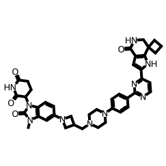 Cn1c(=O)n(C2CCC(=O)NC2=O)c2ccc(N3CC(CN4CCN(c5ccc(-c6nccc(-c7cc8c([nH]7)C7(CCC7)CNC8=O)n6)cc5)CC4)C3)cc21